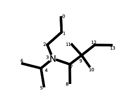 CCCN(C(C)C)C(C)C(C)(C)CC